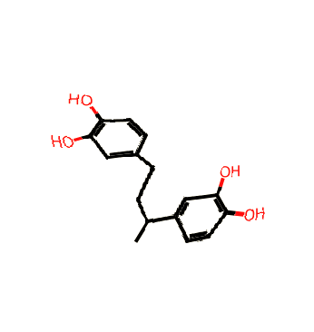 CC(CCc1ccc(O)c(O)c1)c1ccc(O)c(O)c1